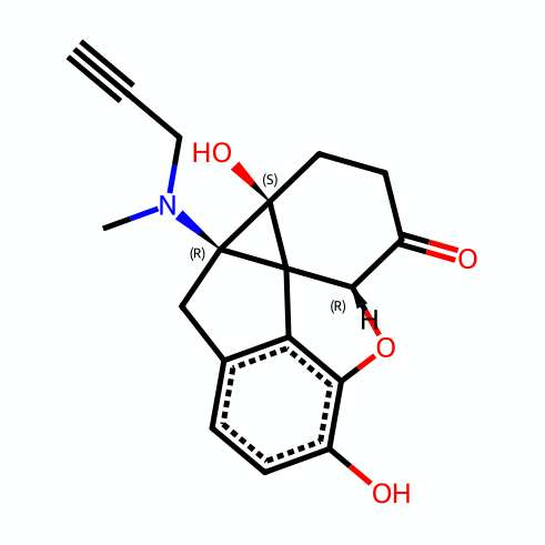 C#CCN(C)[C@]12Cc3ccc(O)c4c3C13[C@@H](O4)C(=O)CC[C@]32O